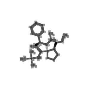 C=CC[C@H]1CCC[C@]1(C(=O)NC(C)(C)C)N(C(C)=O)[C@@H](C)c1ccccc1